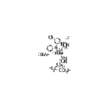 COc1cccc([C@H]2O[C@H](CCn3nnc(SC(C)(C)C(=O)O)n3)c3nnc(CF)n3-c3ccc(Cl)cc32)c1OC